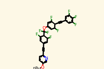 CCCCOc1ccc(C#CC2=CC(F)C(C(F)(F)OC3=CC(F)C(C#Cc4cc(F)c(F)c(F)c4)C(F)=C3)C(F)=C2)nc1